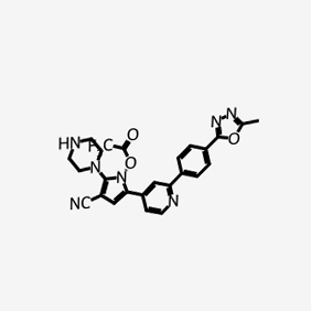 Cc1nnc(-c2ccc(-c3cc(-c4cc(C#N)c(N5CCNCC5)n4OC(=O)C(F)(F)F)ccn3)cc2)o1